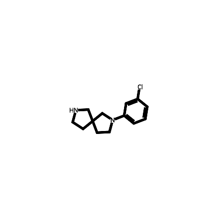 Clc1cccc(N2CCC3(CCNC3)C2)c1